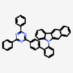 c1ccc(-c2nc(-c3ccccc3)nc(-c3ccc(-c4ccccc4-n4c5ccccc5c5cc6ccccc6cc54)cc3)n2)cc1